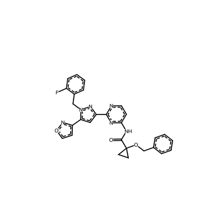 O=C(Nc1ccnc(-c2cc(-c3ccon3)n(Cc3ccccc3F)n2)n1)C1(OCc2ccccc2)CC1